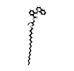 CCCCCCCCCCCCCCCCCCOCC(COC(=O)c1ccccc1C[n+]1cccc2ccccc21)OC